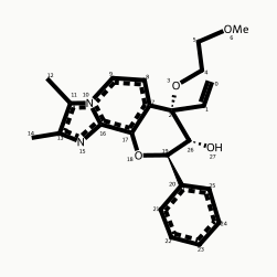 C=C[C@]1(OCCOC)c2ccn3c(C)c(C)nc3c2O[C@H](c2ccccc2)[C@H]1O